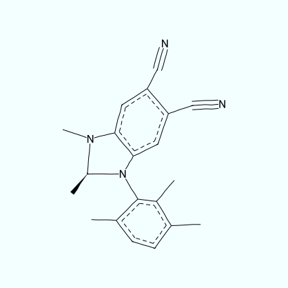 Cc1ccc(C)c(N2c3cc(C#N)c(C#N)cc3N(C)[C@@H]2C)c1C